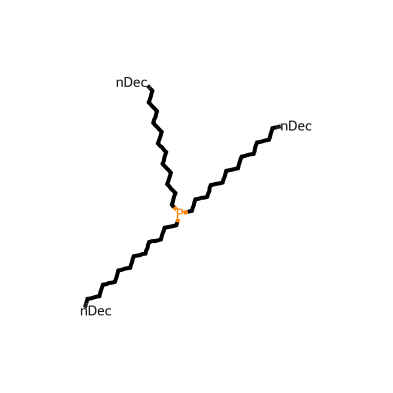 CCCCCCCCCCCCCCCCCCCCCCP(CCCCCCCCCCCCCCCCCCCCCC)CCCCCCCCCCCCCCCCCCCCCC